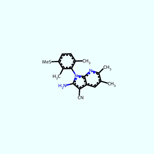 CSc1ccc(C)c(-n2c(N)c(C#N)c3cc(C)c(C)nc32)c1C